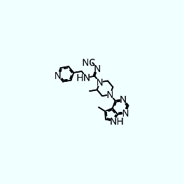 Cc1c[nH]c2ncnc(N3CCN(C(=NC#N)NCc4ccncc4)C(C)C3)c12